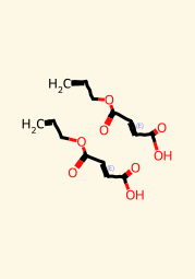 C=CCOC(=O)/C=C/C(=O)O.C=CCOC(=O)/C=C/C(=O)O